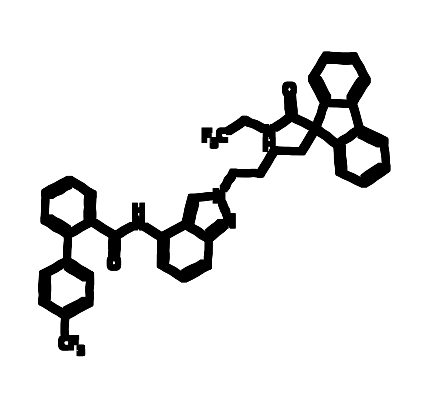 O=C(Nc1cccc2nn(CCCCC3(C(=O)NCC(F)(F)F)c4ccccc4-c4ccccc43)cc12)c1ccccc1-c1ccc(C(F)(F)F)cc1